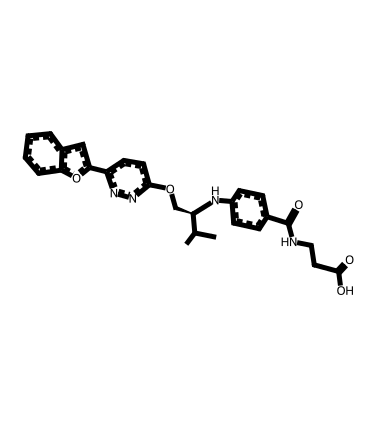 CC(C)[C@@H](COc1ccc(-c2cc3ccccc3o2)nn1)Nc1ccc(C(=O)NCCC(=O)O)cc1